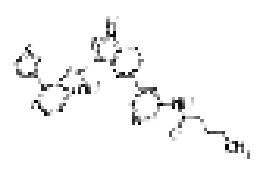 CCCCC(=O)Nc1cncc(-c2ccc3[nH]nc(-c4cc5c(-c6ccsc6)nccc5[nH]4)c3c2)c1